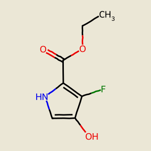 CCOC(=O)c1[nH]cc(O)c1F